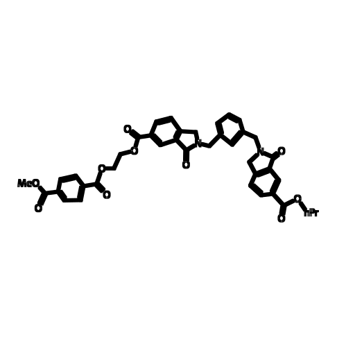 CCCOC(=O)c1ccc2c(c1)C(=O)N(Cc1cccc(CN3Cc4ccc(C(=O)OCCOC(=O)c5ccc(C(=O)OC)cc5)cc4C3=O)c1)C2